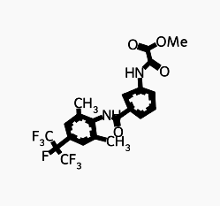 COC(=O)C(=O)Nc1cccc(C(=O)Nc2c(C)cc(C(F)(C(F)(F)F)C(F)(F)F)cc2C)c1